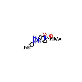 COC(=O)CCN(C(=O)c1ccc2c(c1)nc(CNc1ccc(C#N)cc1)n2C)c1ccccc1